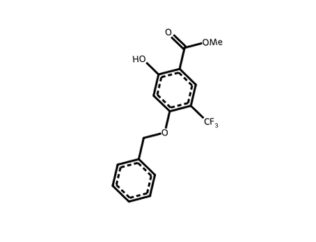 COC(=O)c1cc(C(F)(F)F)c(OCc2ccccc2)cc1O